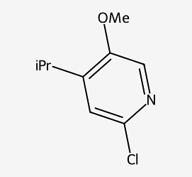 COc1cnc(Cl)cc1C(C)C